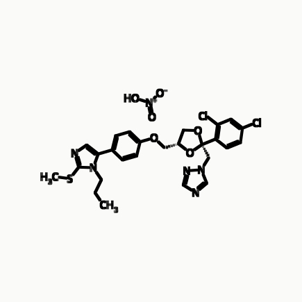 CCCn1c(-c2ccc(OC[C@@H]3CO[C@@](Cn4cncn4)(c4ccc(Cl)cc4Cl)O3)cc2)cnc1SC.O=[N+]([O-])O